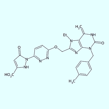 C=C1NC(=O)N(Cc2ccc(C)cc2)c2nc(COc3ccc(-n4[nH]c(C(=O)O)cc4=O)nn3)n(CC)c21